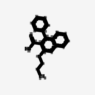 CCCOc1cc2ccccc2c(-c2ccccc2)c1C(=O)O